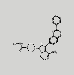 CCNC(=O)N1CCC(C2NC(c3ccc4ccc(-c5ccccc5)nc4c3)=C3C(N)=NC=CN32)CC1